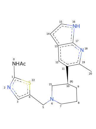 CC(=O)Nc1ncc(CN2CCC[C@H](c3cc4cc[nH]c4nc3C)C2)s1